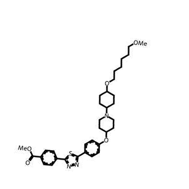 COCCCCCCOC1CCC(N2CCC(Oc3ccc(-c4nnc(-c5ccc(C(=O)OC)cc5)s4)cc3)CC2)CC1